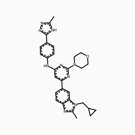 Cc1nnc(-c2ccc(Nc3cc(-c4ccc5nc(C)n(CC6CC6)c5c4)nc(N4CCOCC4)n3)cc2)[nH]1